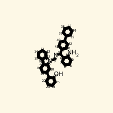 Nc1ccccc1C(/N=C/n1c2ccccc2c2ccc(-c3ccccc3O)cc21)c1ccc(-c2ccccc2)cc1